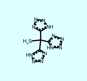 [SiH3]C(c1nnn[nH]1)(c1nnn[nH]1)c1nnn[nH]1